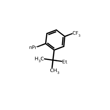 [CH2]CCc1ccc(C(F)(F)F)cc1C(C)(C)CC